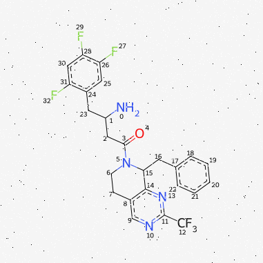 NC(CC(=O)N1CCc2cnc(C(F)(F)F)nc2C1Cc1ccccc1)Cc1cc(F)c(F)cc1F